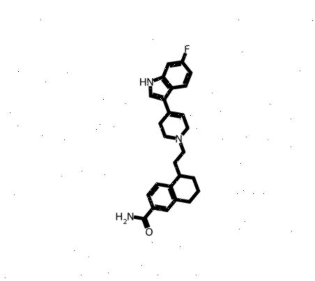 NC(=O)c1ccc2c(c1)CCCC2CCN1CC=C(c2c[nH]c3cc(F)ccc23)CC1